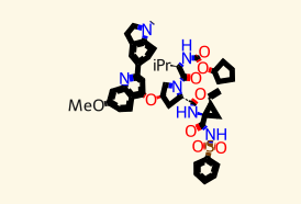 C=C[C@@H]1C[C@]1(NC(=O)[C@@H]1C[C@@H](Oc2cc(-c3ccc4c(c3)CCN4C)nc3cc(OC)ccc23)CN1C(=O)[C@@H](NC(=O)OC1CCCC1)C(C)C)C(=O)NS(=O)(=O)c1ccccc1